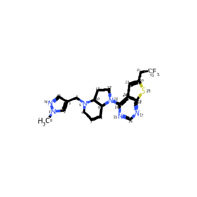 Cn1cc(CN2CCCC3C2CCN3c2ncnc3sc(CC(F)(F)F)cc23)cn1